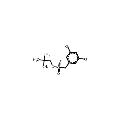 CC(C)(C)COS(=O)(=O)Cc1cc(Cl)cc(Cl)c1